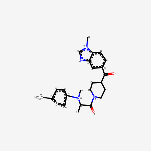 CC(C(=O)N1CCC(C(=O)c2ccc3c(c2)ncn3C)CC1)N(C)c1ccc(C(=O)O)cc1